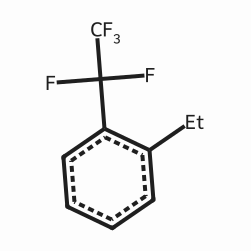 [CH2]Cc1ccccc1C(F)(F)C(F)(F)F